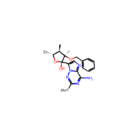 CC[C@H]1O[C@@](O)(c2cnc3c(N)nc(SC)nn23)[C@](C)(OCc2ccccc2)[C@@H]1C